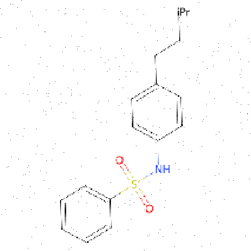 CC(C)CCc1ccc(NS(=O)(=O)c2ccccc2)cc1